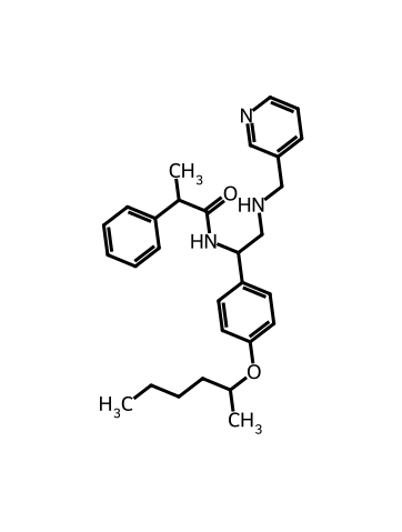 CCCCC(C)Oc1ccc(C(CNCc2cccnc2)NC(=O)C(C)c2ccccc2)cc1